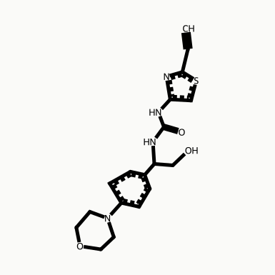 C#Cc1nc(NC(=O)NC(CO)c2ccc(N3CCOCC3)cc2)cs1